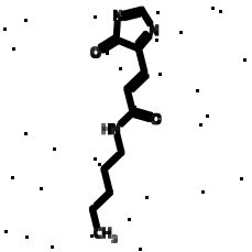 CCCCCNC(=O)C=CC1=NC=NC1=O